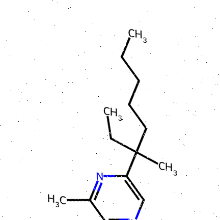 CCCCCC(C)(CC)c1cncc(C)n1